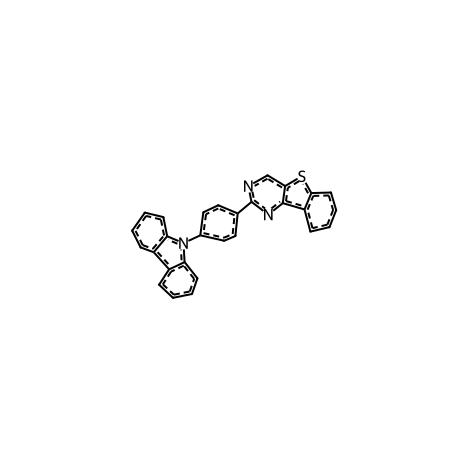 c1ccc2c(c1)sc1cnc(-c3ccc(-n4c5ccccc5c5ccccc54)cc3)nc12